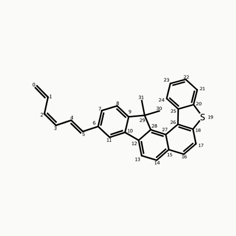 C=C/C=C\C=C\c1ccc2c(c1)-c1ccc3ccc4sc5ccccc5c4c3c1C2(C)C